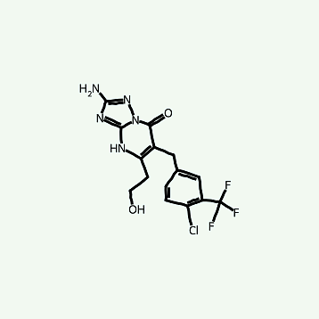 Nc1nc2[nH]c(CCO)c(Cc3ccc(Cl)c(C(F)(F)F)c3)c(=O)n2n1